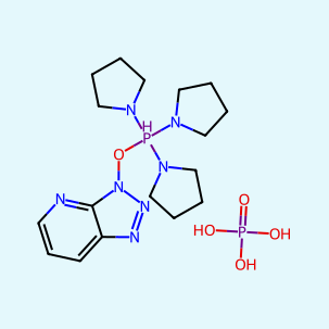 O=P(O)(O)O.c1cnc2c(c1)nnn2O[PH](N1CCCC1)(N1CCCC1)N1CCCC1